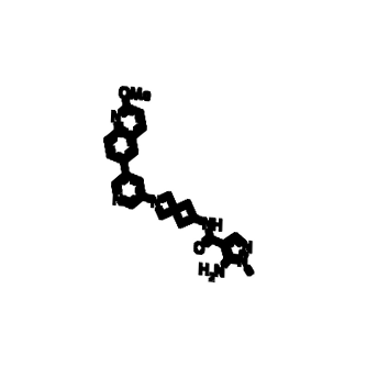 COc1ccc2cc(-c3cncc(N4CC5(CC(NC(=O)c6cnn(C)c6N)C5)C4)c3)ccc2n1